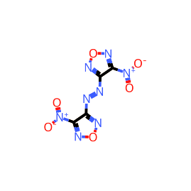 O=[N+]([O-])c1nonc1N=Nc1nonc1[N+](=O)[O-]